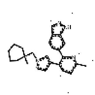 Cc1ccc(-c2cnn(CC3(C)CCCCC3)c2)c(-c2ccc3cn[nH]c3c2)n1